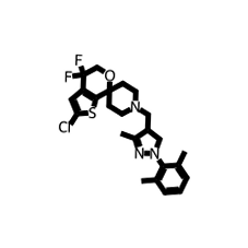 CC1=NN(c2c(C)cccc2C)CC1CN1CCC2(CC1)OCC(F)(F)c1cc(Cl)sc12